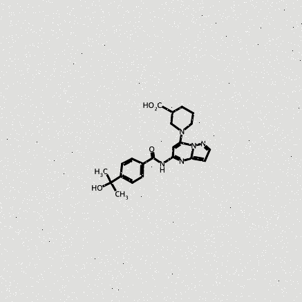 CC(C)(O)c1ccc(C(=O)Nc2cc(N3CCCC(C(=O)O)C3)n3nccc3n2)cc1